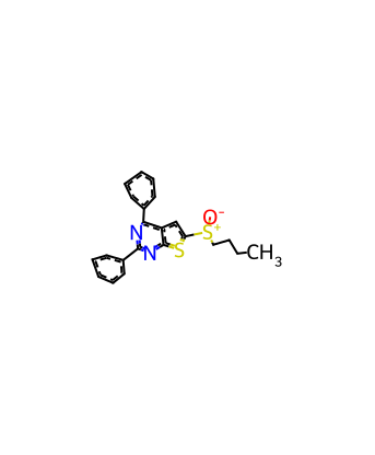 CCCC[S+]([O-])c1cc2c(-c3ccccc3)nc(-c3ccccc3)nc2s1